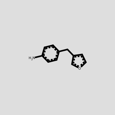 Nc1ccc(Cc2ccoc2)cc1